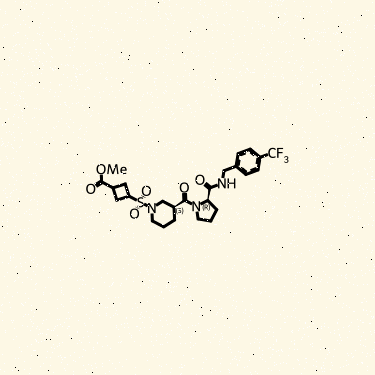 COC(=O)C1CC(S(=O)(=O)N2CCC[C@H](C(=O)N3CCC[C@@H]3C(=O)NCc3ccc(C(F)(F)F)cc3)C2)C1